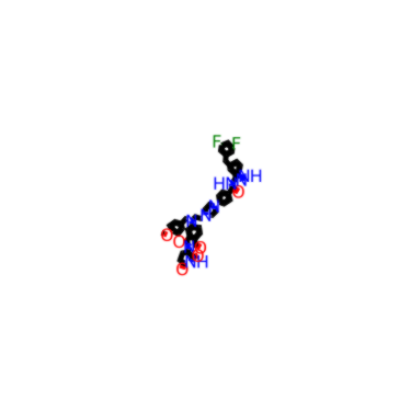 COc1ccc(CN(CCN2CCN(c3ccc(C(=O)Nc4n[nH]c5ccc(Cc6cc(F)cc(F)c6)cc45)cc3)CC2)c2ccc3c(c2)C(=O)N(C2CCC(=O)NC2=O)C3=O)cc1